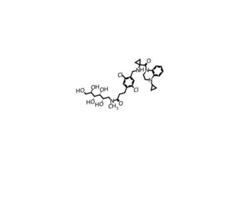 CN(C[C@H](O)[C@@H](O)[C@H](O)[C@H](O)CO)C(=O)CCc1cc(Cl)c(CNC2(C(=O)N3CCN(C4CC4)c4ccccc43)CC2)cc1Cl